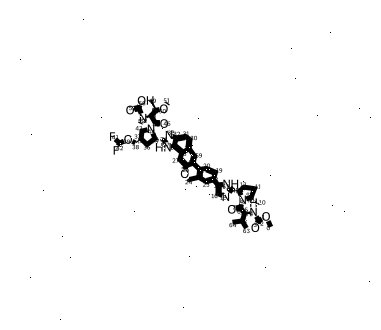 COC(=O)N[C@H](C(=O)N1[C@@H](C)CC[C@H]1c1ncc(-c2ccc3c(c2)COc2cc4c(ccc5nc([C@@H]6C[C@H](COC(F)F)CN6C(=O)[C@H]([C@@H](C)OC)N(C)C(=O)O)[nH]c54)cc2-3)[nH]1)C(C)C